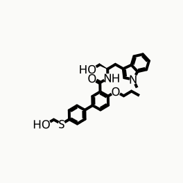 CCCOc1ccc(-c2ccc(SCO)cc2)cc1C(=O)N[C@@H](CO)Cc1cn(C)c2ccccc12